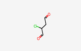 O=CCC(Cl)C=O